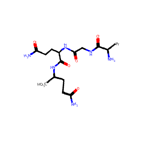 CC(C)C(N)C(=O)NCC(=O)NC(CCC(N)=O)C(=O)NC(CCC(N)=O)C(=O)O